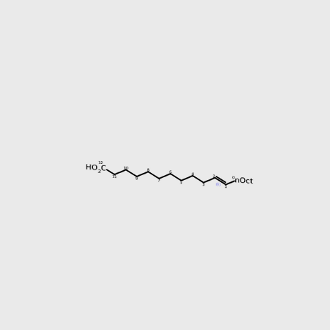 CCCCCCCC/C=C/CCCCCCCCCC(=O)O